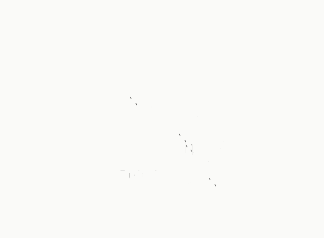 CCOC(=O)c1cnc2ccc(-c3ccccc3-c3cccc(C)n3)nn12